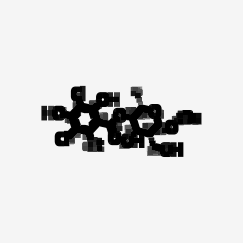 CCc1c(Cl)c(O)c(Cl)c(O)c1C(=O)O[C@@H]1[C@@H](O)[C@@H](CO)[C@@H](OC(C)(C)C)O[C@H]1C